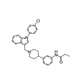 CCC(=O)Nc1cccc(C2CCN(Cc3cn(-c4ccc(Cl)cc4)c4ccccc34)CC2)c1